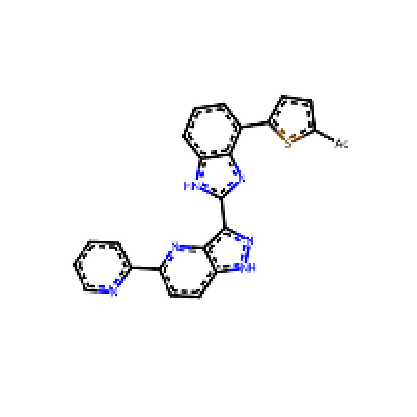 CC(=O)c1ccc(-c2cccc3[nH]c(-c4n[nH]c5ccc(-c6ccccn6)nc45)nc23)s1